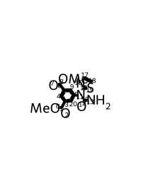 COC(=O)c1cc(C(=O)OC)cc(N(C(N)=O)c2nccs2)c1